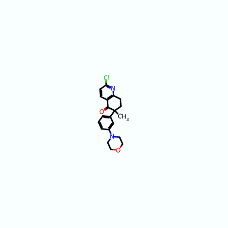 CC1(c2cccc(N3CCOCC3)c2)CCc2nc(Cl)ccc2C1=O